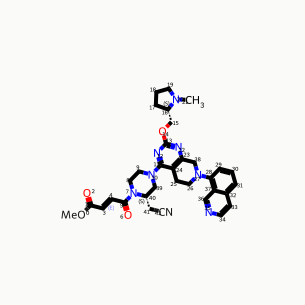 COC(=O)/C=C/C(=O)N1CCN(c2nc(OC[C@@H]3CCCN3C)nc3c2CCN(c2cccc4ccncc24)C3)C[C@@H]1CC#N